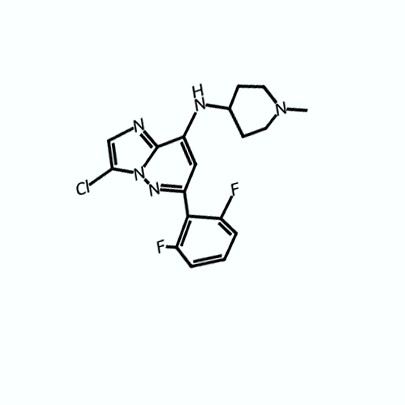 CN1CCC(Nc2cc(-c3c(F)cccc3F)nn3c(Cl)cnc23)CC1